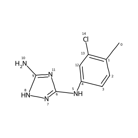 Cc1ccc(Nc2n[nH]c(N)n2)cc1Cl